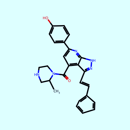 CC1CNCCN1C(=O)c1cc(-c2ccc(O)cc2)nc2[nH]nc(C=Cc3ccccc3)c12